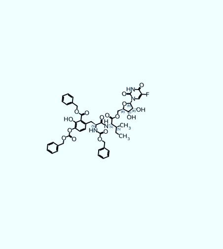 CC[C@H](C)[C@H](NC(=O)[C@H](Cc1ccc(OC(=O)OCc2ccccc2)c(O)c1C(=O)OCc1ccccc1)NC(=O)OCc1ccccc1)C(=O)OC[C@H]1O[C@@H](n2cc(F)c(=O)[nH]c2=O)[C@H](O)[C@@H]1O